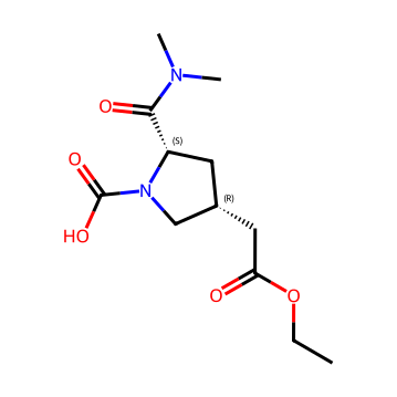 CCOC(=O)C[C@H]1C[C@@H](C(=O)N(C)C)N(C(=O)O)C1